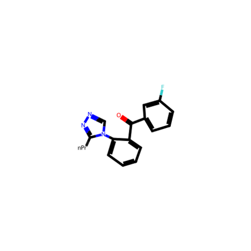 CCCc1nncn1-c1ccccc1C(=O)c1cccc(F)c1